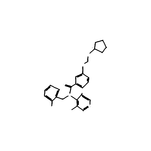 N=C(c1cccc(OCOC2CCCC2)c1)N(Cc1ccccc1F)c1c(Cl)cncc1Cl